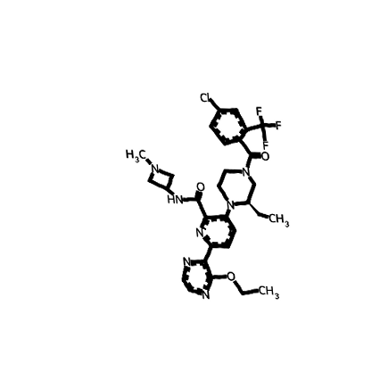 CCOc1nccnc1-c1ccc(N2CCN(C(=O)c3ccc(Cl)cc3C(F)(F)F)C[C@H]2CC)c(C(=O)NC2CN(C)C2)n1